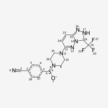 N#Cc1ccc([S+]([O-])N2CCN(C3=NN4C(=NNC4C(F)(F)F)C=C3)CC2)cc1